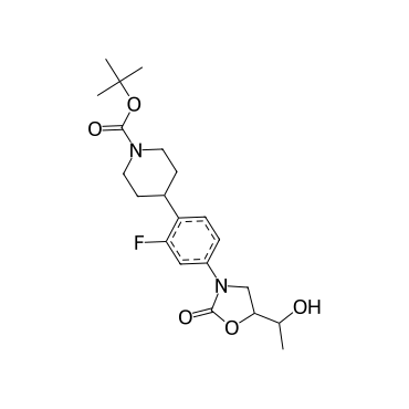 CC(O)C1CN(c2ccc(C3CCN(C(=O)OC(C)(C)C)CC3)c(F)c2)C(=O)O1